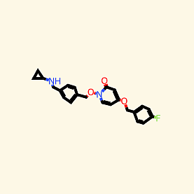 O=c1cc(OCc2ccc(F)cc2)ccn1OCc1ccc(CNC2CC2)cc1